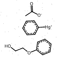 CC(=O)[O-].OCCOc1ccccc1.[Hg+][c]1ccccc1